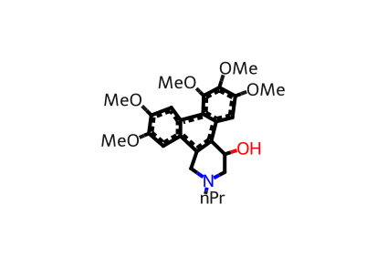 CCCN1Cc2c(c3cc(OC)c(OC)c(OC)c3c3cc(OC)c(OC)cc23)C(O)C1